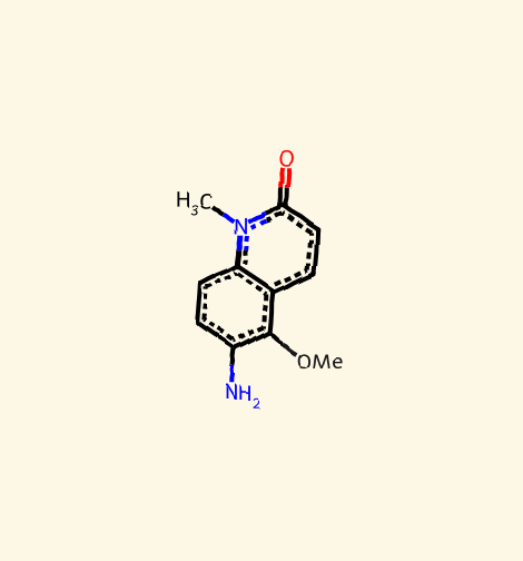 COc1c(N)ccc2c1ccc(=O)n2C